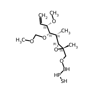 C=C[C@H](OC)[C@@H](OCOC)[C@H](C)[C@H]1O[C@@]1(C)COBPS